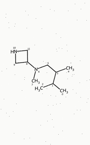 CC(C)C(C)CN(C)C1CNC1